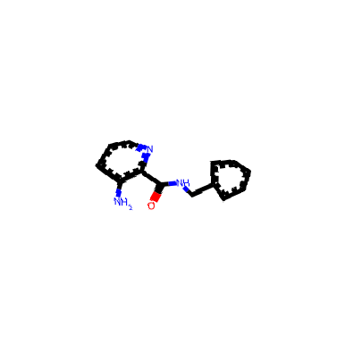 Nc1cccnc1C(=O)NCc1ccccc1